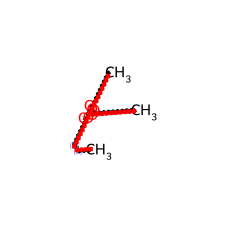 CCCCC/C=C\C/C=C\CCCCCCCCCCCC(=O)OC[C@@H](COC(=O)CCCCCCCCCCCCCCCCC)OC(=O)CCCCCCCCCCCCCCCCCC